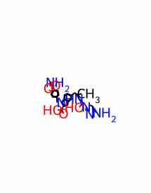 CC(Cc1ccc2c(c1)cc(C(=O)O)n2Cc1ccc(S(N)(=O)=O)cc1)NCC(O)N1C=NC(N)=CC1